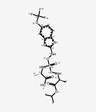 CC(C)OC(=O)[C@H](C)NOP(=O)(N[C@@H](C)C(=O)O)ONc1nc2ccc(OC(F)(F)F)cc2s1